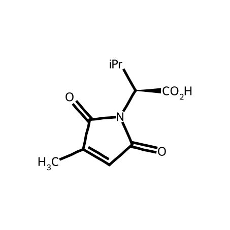 CC1=CC(=O)N([C@H](C(=O)O)C(C)C)C1=O